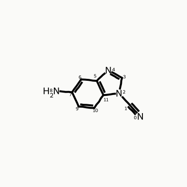 N#Cn1cnc2cc(N)ccc21